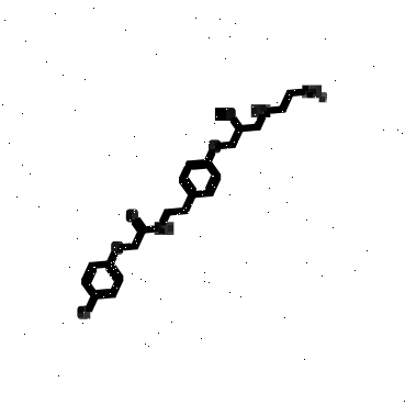 NCCNCC(O)COc1ccc(CCNC(=O)COc2ccc(Cl)cc2)cc1